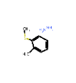 CSc1ccccc1C.N.N